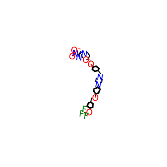 O=[N+]([O-])c1cn2c(n1)O[C@@H](COc1ccc(CN3CCN(c4ccc(OCc5ccc(OC(F)(F)F)cc5)cc4)CC3)cc1)CC2